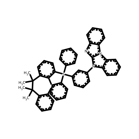 CC1(C)c2ccccc2Sc2c(cccc2S(c2ccccc2)(c2ccccc2)c2cccc(-n3c4ccccc4n4c5ccccc5nc34)c2)C1(C)C